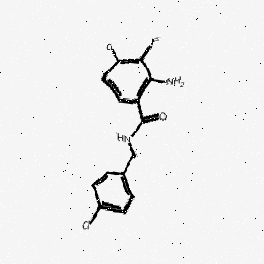 Nc1c(C(=O)NCc2ccc(Cl)cc2)ccc(Cl)c1F